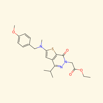 CCOC(=O)Cn1nc(C(C)C)c2cc(N(C)Cc3ccc(OC)cc3)sc2c1=O